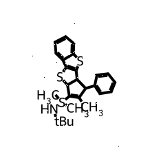 CC1=C(S(C)(C)NC(C)(C)C)C2Sc3c(sc4ccccc34)C2C1c1ccccc1